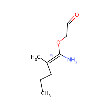 CCC/C(C)=C(\N)OCC=O